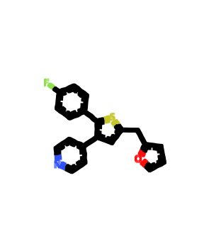 Fc1ccc(-c2sc(Cc3ccco3)cc2-c2ccncc2)cc1